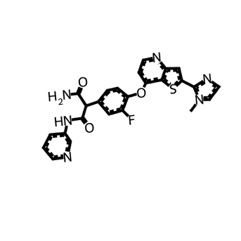 Cn1ccnc1-c1cc2nccc(Oc3ccc(C(C(N)=O)C(=O)Nc4cccnc4)cc3F)c2s1